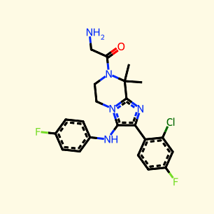 CC1(C)c2nc(-c3ccc(F)cc3Cl)c(Nc3ccc(F)cc3)n2CCN1C(=O)CN